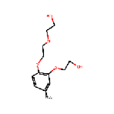 O=[N+]([O-])c1ccc(OCCOCCO)c(OCCO)c1